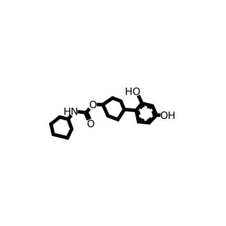 O=C(NC1CCCCC1)OC1CCC(c2ccc(O)cc2O)CC1